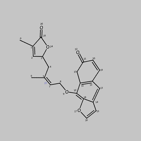 CC1=CC(C/C(C)=C\COc2c3c(cc4ccoc24)C=CC(=O)C3)OC1=O